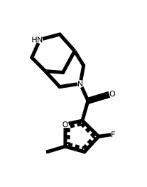 Cc1cc(F)c(C(=O)N2CC3CNCC(C3)C2)o1